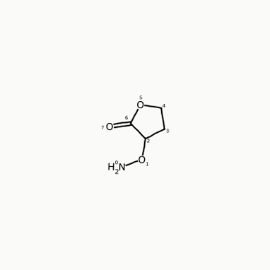 NOC1CCOC1=O